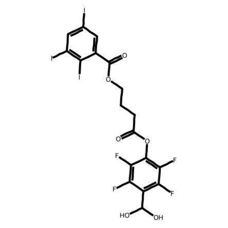 O=C(CCCOC(=O)c1cc(I)cc(I)c1I)Oc1c(F)c(F)c(C(O)O)c(F)c1F